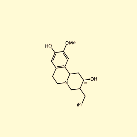 COc1cc2c(cc1O)CCN1CC(CC(C)C)[C@H](O)CC21